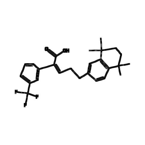 CC1(C)CCC(C)(C)c2cc(CCC=C(C(=O)O)c3cccc(C(F)(F)F)c3)ccc21